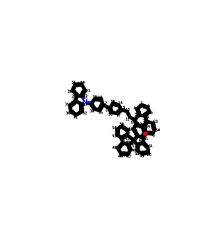 c1ccc(-c2ccccc2C(CCc2ccc(-c3ccc(-n4c5ccccc5c5ccccc54)cc3)cc2)c2ccc3c(c2)C(c2ccccc2)(c2ccccc2)c2ccccc2-3)cc1